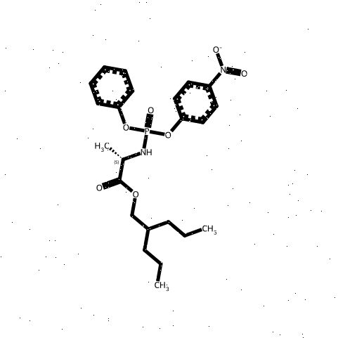 CCCC(CCC)COC(=O)[C@H](C)NP(=O)(Oc1ccccc1)Oc1ccc([N+](=O)[O-])cc1